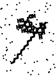 CCCCCCCCCCCCCC[C@@H](O)[C@@H](O)[C@H](CO[C@H]1O[C@H](CO)[C@H](O)[C@H](O)[C@H]1O)c1nc(C)c[nH]1